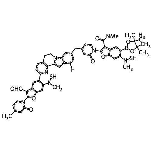 CNC(=O)c1c(-n2ccc(Cc3cc(F)c4cc5n(c4c3)CCc3ccc(-c4cc6c(C=O)c(-n7ccc(C)cc7=O)oc6cc4N(C)S)nc3-5)cc2=O)oc2cc(N(C)S)c(B3OC(C)(C)C(C)(C)O3)cc12